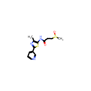 Cc1nc(-c2cccnc2)sc1NC(=O)CC[S+](C)[O-]